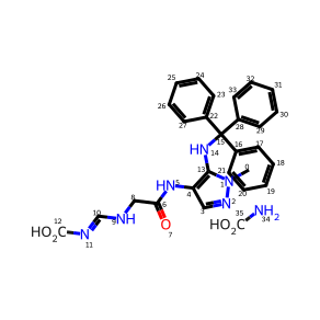 Cn1ncc(NC(=O)CNC=NC(=O)O)c1NC(c1ccccc1)(c1ccccc1)c1ccccc1.NC(=O)O